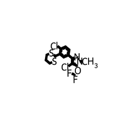 Cn1nc(-c2ccc(Cl)c(C3SCCCS3)c2)c(Cl)c1OC(F)F